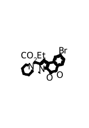 CCOC(=O)c1c2c(n(C)c1CN1CCCCC1)C(=O)C(=O)c1ccc(Br)cc1-2